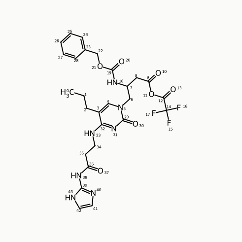 CCCc1cn(CC(CC(=O)OC(=O)C(F)(F)F)NC(=O)OCc2ccccc2)c(=O)nc1NCCC(=O)Nc1ncc[nH]1